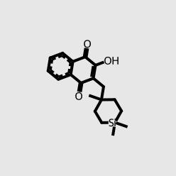 CC1(CC2=C(O)C(=O)c3ccccc3C2=O)CC[Si](C)(C)CC1